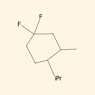 CC(C)C1CCC(F)(F)CC1C